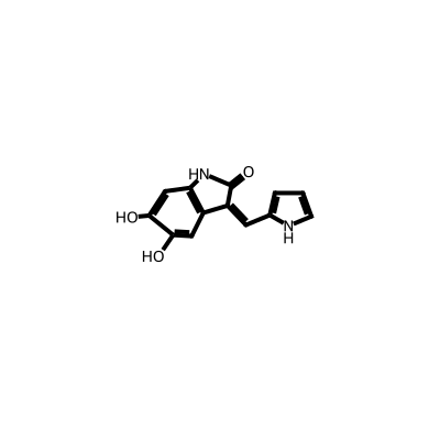 O=C1Nc2cc(O)c(O)cc2C1=Cc1ccc[nH]1